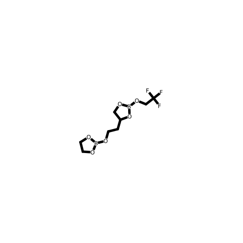 FC(F)(F)COB1OCC(CCOB2OCCO2)O1